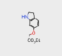 CCOC(=O)COc1ccc2c(c1)NCC2